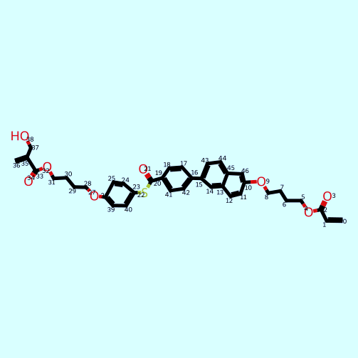 C=CC(=O)OCCCCOc1ccc2cc(-c3ccc(C(=O)Sc4ccc(OCCCCOC(=O)C(=C)CO)cc4)cc3)ccc2c1